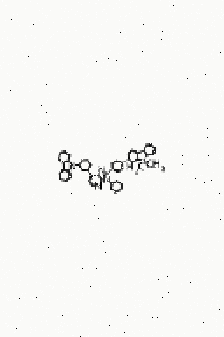 CC1(C)c2ccccc2-c2ccc(-c3ccc(-c4nc5c(-c6cccc(-n7c8ccccc8c8ccccc87)c6)ccnc5n4-c4ccccc4)cc3)cc21